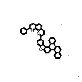 c1ccc(-c2ccc3ccc4ccc(-c5ccc6oc7ccc8c9c%10ccccc%10ccc9c9ccccc9c8c7c6c5)nc4c3n2)cc1